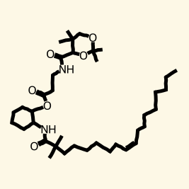 CCCCCCCC/C=C\CCCCCCC(C)(C)C(=O)NC1CCCCC1OC(=O)CCNC(=O)C1OC(C)(C)OCC1(C)C